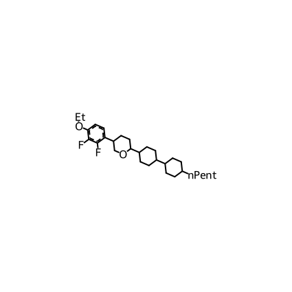 CCCCCC1CCC(C2CCC(C3CCC(c4ccc(OCC)c(F)c4F)CO3)CC2)CC1